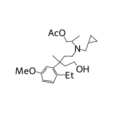 CCc1ccc(OC)cc1C(C)(CCO)CCN(CC1CC1)C(C)COC(C)=O